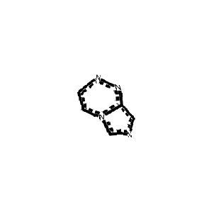 [c]1cnnc2cncn12